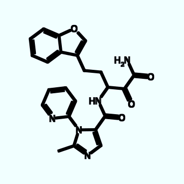 Cc1ncc(C(=O)NC(CCc2coc3ccccc23)C(=O)C(N)=O)n1-c1ccccn1